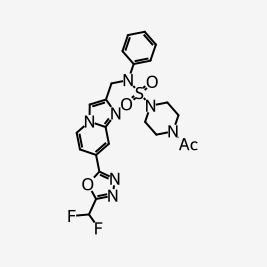 CC(=O)N1CCN(S(=O)(=O)N(Cc2cn3ccc(-c4nnc(C(F)F)o4)cc3n2)c2ccccc2)CC1